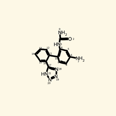 NC(=O)Nc1cc(N)ccc1-c1ccccc1-c1nnn[nH]1